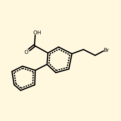 O=C(O)c1cc(CCBr)ccc1-c1ccccc1